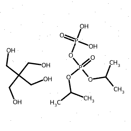 CC(C)OP(=O)(OC(C)C)OP(=O)(O)O.OCC(CO)(CO)CO